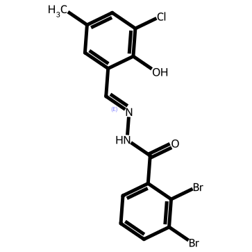 Cc1cc(Cl)c(O)c(/C=N/NC(=O)c2cccc(Br)c2Br)c1